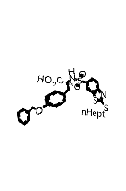 CCCCCCCSc1nc2ccc(S(=O)(=O)N[C@H](Cc3ccc(OCc4ccccc4)cc3)C(=O)O)cc2s1